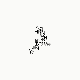 COc1c(-c2nn(C)c3cnc(NC(=O)C4CC4)cc23)cnn1-c1cnn([C@@H]2CCCOC2)c1